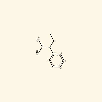 CCC(c1ccccc1)C(Cl)Cl